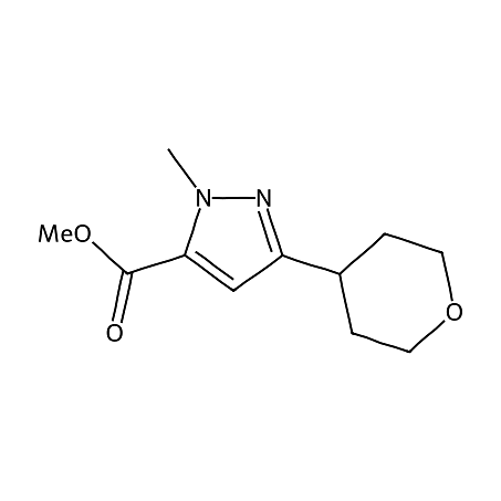 COC(=O)c1cc(C2CCOCC2)nn1C